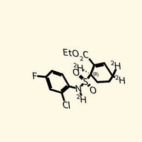 [2H]N(c1ccc(F)cc1Cl)S(=O)(=O)[C@]1([2H])CCC([2H])([2H])C=C1C(=O)OCC